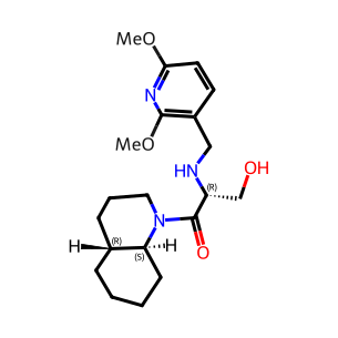 COc1ccc(CN[C@H](CO)C(=O)N2CCC[C@H]3CCCC[C@@H]32)c(OC)n1